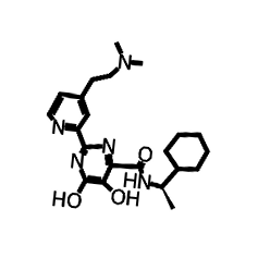 C[C@@H](NC(=O)c1nc(-c2cc(CCN(C)C)ccn2)nc(O)c1O)C1CCCCC1